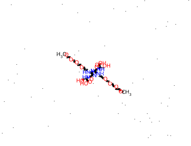 COCCOCCOCCOCCCNc1nc(C(=O)N[C@H](CO)C(=O)O)c(NCCCOCCOCCOCCOC)nc1C(=O)N[C@H](CO)C(=O)O